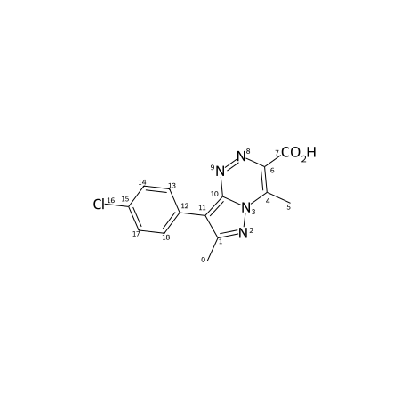 Cc1nn2c(C)c(C(=O)O)nnc2c1-c1ccc(Cl)cc1